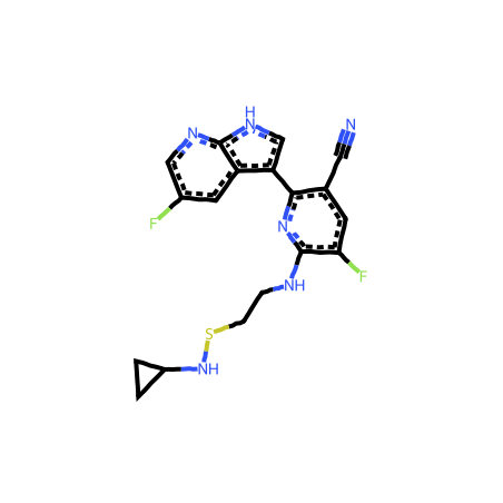 N#Cc1cc(F)c(NCCSNC2CC2)nc1-c1c[nH]c2ncc(F)cc12